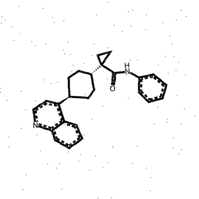 O=C(Nc1ccccc1)C1([C@H]2CC[C@H](c3ccnc4ccccc43)CC2)CC1